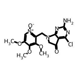 COc1c[n+]([O-])c(CN2CC(=O)c3c(Cl)nc(N)nc32)c(OC)c1OC